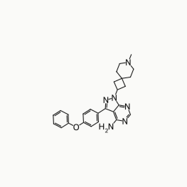 CN1CCC2(CC1)CC(n1nc(-c3ccc(Oc4ccccc4)cc3)c3c(N)ncnc31)C2